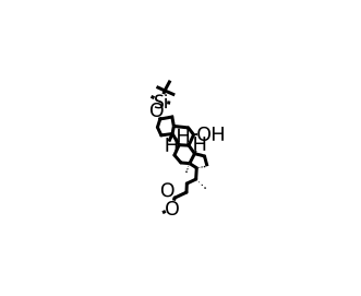 COC(=O)CC[C@@H](C)[C@H]1CC[C@H]2[C@@H]3[C@H](O)CC4CC(O[Si](C)(C)C(C)(C)C)CCC4(C)[C@H]3CC[C@]12C